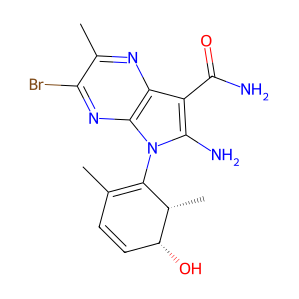 CC1=C(n2c(N)c(C(N)=O)c3nc(C)c(Br)nc32)[C@H](C)[C@H](O)C=C1